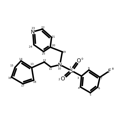 O=S(=O)(c1cccc(F)c1)N(CCc1ccccc1)Cc1ccncc1